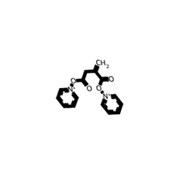 C=C(CC(=O)O[n+]1ccccc1)C(=O)O[n+]1ccccc1